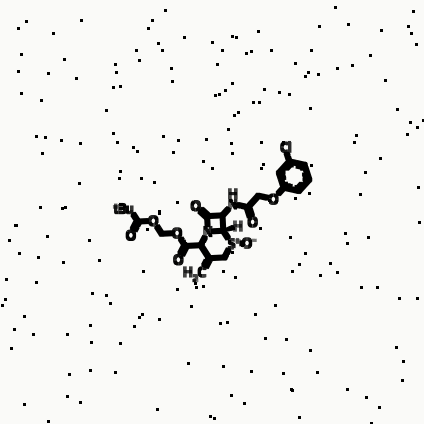 C=C1C[S+]([O-])[C@H]2C(NC(=O)COc3cccc(Cl)c3)C(=O)N2C1C(=O)OCOC(=O)C(C)(C)C